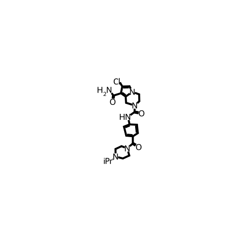 CC(C)N1CCN(C(=O)c2ccc(NC(=O)N3CCn4cc(Cl)c(C(N)=O)c4C3)cc2)CC1